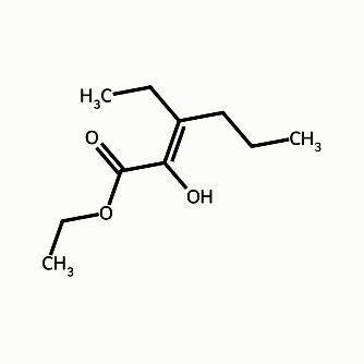 CCCC(CC)=C(O)C(=O)OCC